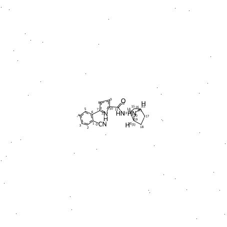 N#Cc1ccccc1-c1ccc(C(=O)N[C@@H]2C[C@H]3CC[C@@H]2N3)[nH]1